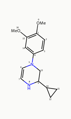 COc1ccc(N2C=CNC(C3CC3)C2)cc1OC